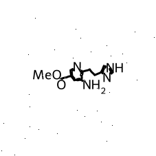 COC(=O)c1cnc(CCc2c[nH]cn2)c(N)c1